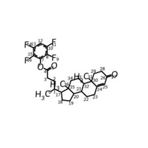 CC(CCC(=O)Oc1c(F)c(F)cc(F)c1F)C1CCC2C3CCC4=CC(=O)CCC4(C)C3CCC12C